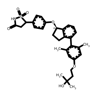 Cc1cc(OCCC(C)(C)O)cc(C)c1-c1cccc2c1CC[C@H]2Oc1ccc(C2CC(=O)NS2(=O)=O)cc1